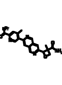 CCCC(=O)c1cc(C)c(-c2cc3cnc(C4OCC4(C)C(N)=O)cc3cn2)cn1